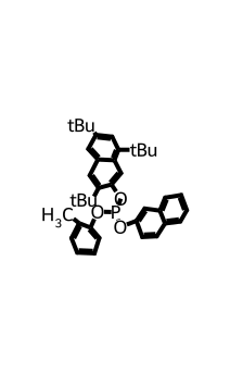 Cc1ccccc1OP(Oc1ccc2ccccc2c1)Oc1cc2c(C(C)(C)C)cc(C(C)(C)C)cc2cc1C(C)(C)C